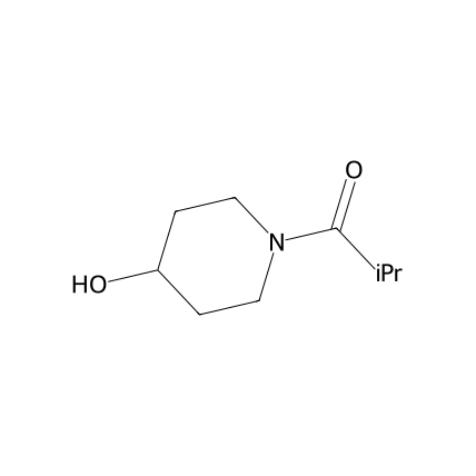 CC(C)C(=O)N1CCC(O)CC1